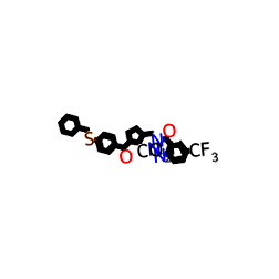 O=C(c1ccc(SCC2CCCCC2)cc1)C1CCC(Cn2nnc3ccc(C(F)(F)F)cc3c2=O)C1C(=O)O